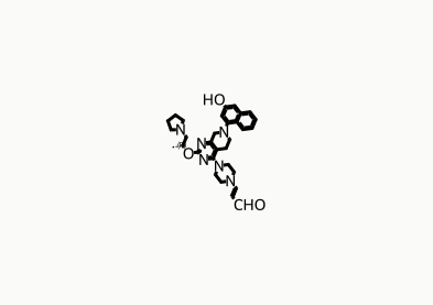 C[C@H](CN1CCCC1)Oc1nc2c(c(N3CCN(C=CC=O)CC3)n1)CCN(c1cc(O)cc3ccccc13)C2